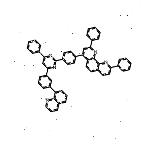 c1ccc(-c2cc(-c3cccc(-c4cccc5cccnc45)c3)nc(-c3ccc(-c4cc(-c5ccccc5)nc5c4ccc4ccc(-c6ccccc6)nc45)cc3)n2)cc1